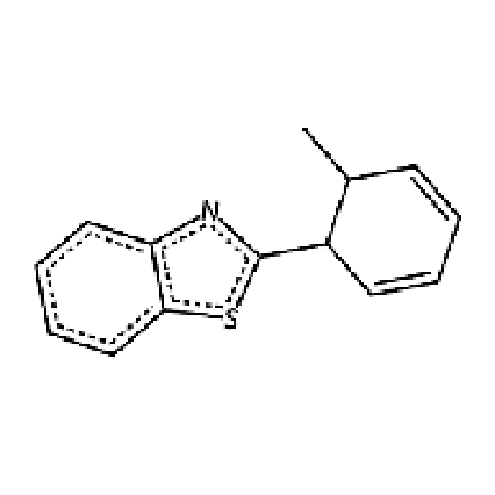 CC1C=CC=CC1c1nc2ccccc2s1